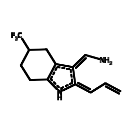 C=C/C=c1/[nH]c2c(/c1=C/N)CC(C(F)(F)F)CC2